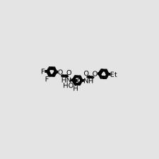 CCc1ccc(OCC(=O)NC23CCC(NC(=O)COc4ccc(F)c(F)c4)(CC2)[C@@H](O)C3)cc1